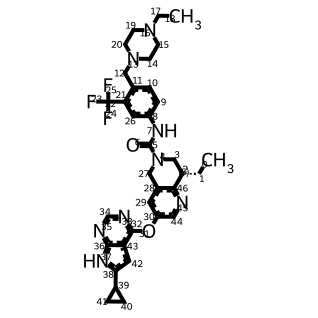 CC[C@H]1CN(C(=O)Nc2ccc(CN3CCN(CC)CC3)c(C(F)(F)F)c2)Cc2cc(Oc3ncnc4[nH]c(C5CC5)cc34)cnc21